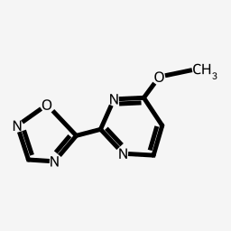 COc1ccnc(-c2ncno2)n1